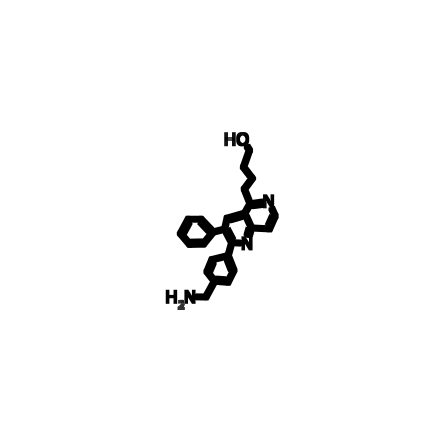 NCc1ccc(-c2nc3ccnc(CCCCO)c3cc2-c2ccccc2)cc1